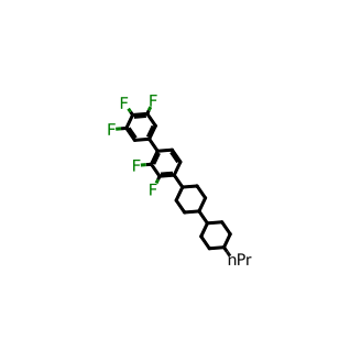 CCCC1CCC(C2CCC(c3ccc(-c4cc(F)c(F)c(F)c4)c(F)c3F)CC2)CC1